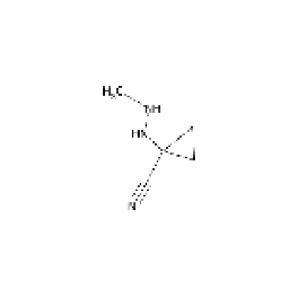 CNNC1(C#N)CC1